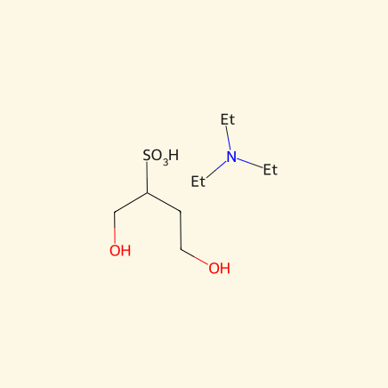 CCN(CC)CC.O=S(=O)(O)C(CO)CCO